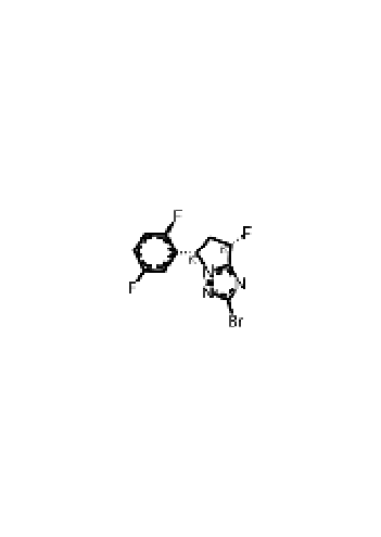 Fc1ccc(F)c([C@@H]2C[C@H](F)c3nc(Br)nn32)c1